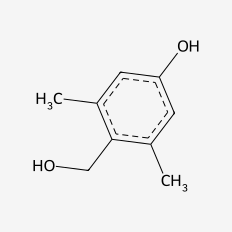 Cc1cc(O)cc(C)c1CO